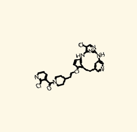 O=C(c1cccnc1Cl)N1CCC(CCOc2ccc3cc2CCc2cncc(c2)Nc2ncc(Cl)c(n2)N3)CC1